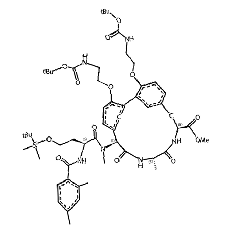 COC(=O)[C@@H]1Cc2ccc(OCCNC(=O)OC(C)(C)C)c(c2)-c2cc(ccc2OCCNC(=O)OC(C)(C)C)[C@H](N(C)C(=O)[C@H](CCO[Si](C)(C)C(C)(C)C)NC(=O)c2ccc(C)cc2C)C(=O)N[C@@H](C)C(=O)N1